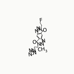 CC(Cn1ncnn1)n1nnc2cc3c(=O)n(CCF)nnc3cc2c1=O